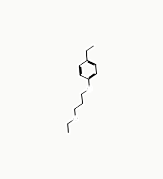 CCOCCCOc1ccc(CC)cc1